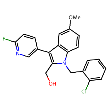 COc1ccc2c(c1)c(-c1ccc(F)nc1)c(CO)n2Cc1ccccc1Cl